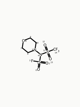 O=S(=O)(F)N(N1CCOCC1)S(=O)(=O)C(F)(F)F